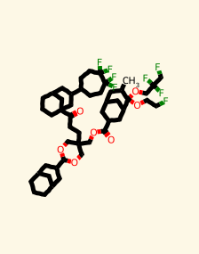 CC1CC2CC(C(=O)OCC3(CCC(=O)C45CCCC(CC(C6CCC(F)(F)C(F)(F)CC6)C4)C5)COC(C4CC5CCCC(C5)C4)OC3)CC(C2)C1(OCCF)OCC(F)(F)CF